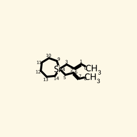 CC=CC[Si]1(CC=CC)CCCCCC1